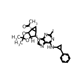 CC(=O)[C@]12CC1[C@@H](n1cnc3c(NC4CC4c4ccccc4)nc(I)nc31)[C@@H]1OC(C)(C)OC12